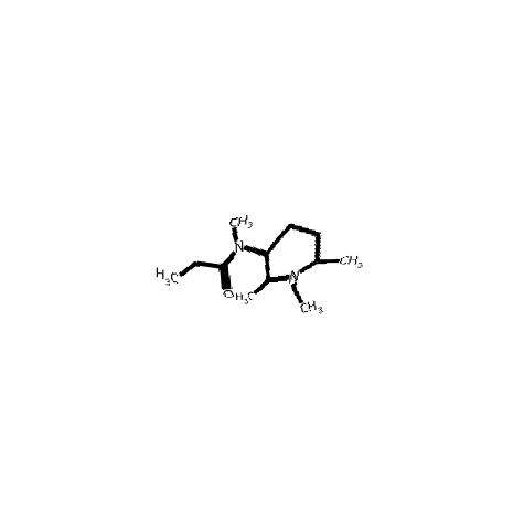 CCC(=O)N(C)C1CCC(C)N(C)C1C